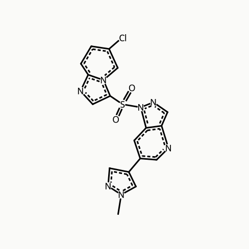 Cn1cc(-c2cnc3cnn(S(=O)(=O)c4cnc5ccc(Cl)cn45)c3c2)cn1